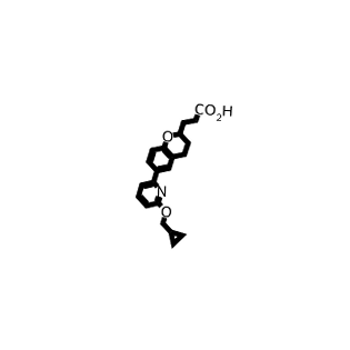 O=C(O)CCC1CCc2cc(-c3cccc(OCC4CC4)n3)ccc2O1